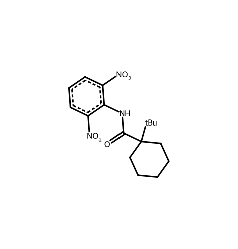 CC(C)(C)C1(C(=O)Nc2c([N+](=O)[O-])cccc2[N+](=O)[O-])CCCCC1